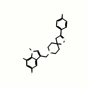 Cc1cc(F)cc2c(CN3CCC4(CC3)CC(c3ccc(C(=O)O)cc3)=NO4)cn(C(C)C)c12